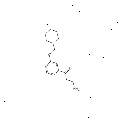 NCCC(=O)c1cccc(SCC2CCCCC2)c1